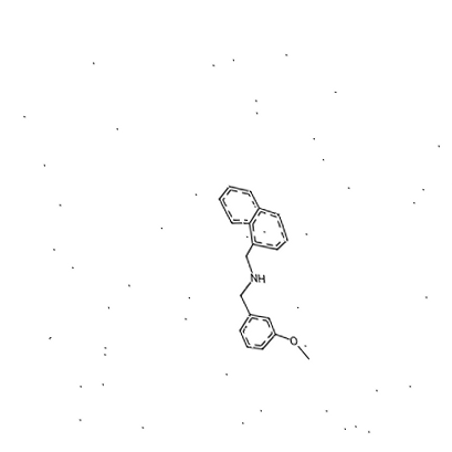 COc1cccc(CNCc2cccc3ccccc23)c1